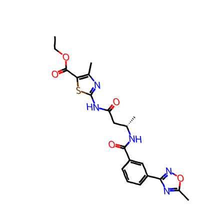 CCOC(=O)c1sc(NC(=O)C[C@H](C)NC(=O)c2cccc(-c3noc(C)n3)c2)nc1C